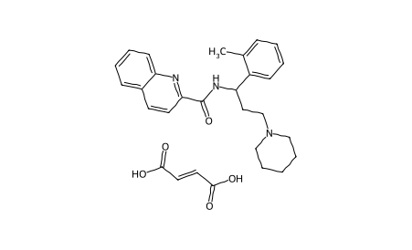 Cc1ccccc1C(CCN1CCCCC1)NC(=O)c1ccc2ccccc2n1.O=C(O)C=CC(=O)O